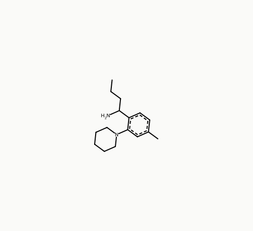 CCCC(N)c1ccc(C)cc1N1CCCCC1